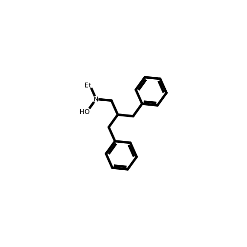 CCN(O)CC(Cc1ccccc1)Cc1ccccc1